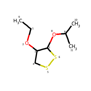 CCOC1CSSC1OC(C)C